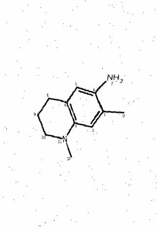 Cc1cc2c(cc1N)CCCN2C